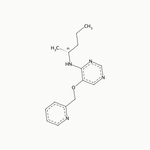 CCC[C@@H](C)Nc1ncncc1OCc1ccccn1